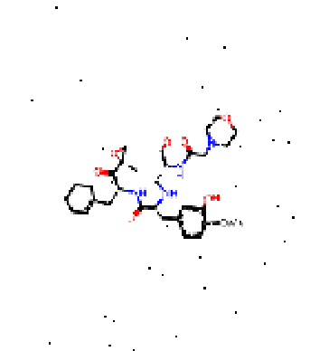 COc1ccc(C[C@H](NC[C@H](CO)NC(=O)CN2CCOCC2)C(=O)N[C@@H](CC2=CCCCC2)C(=O)[C@@]2(C)CO2)cc1O